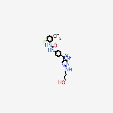 Cn1nc(-c2ccc(NC(=O)Nc3cc(C(F)(F)F)ccc3F)cc2)c2cnc(NCCCCO)nc21